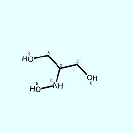 OCC(CO)NO